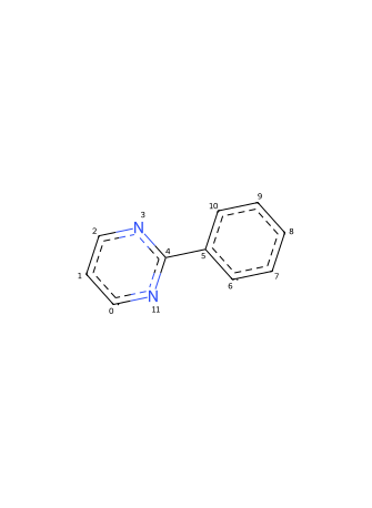 [c]1ccnc(-c2[c]cccc2)n1